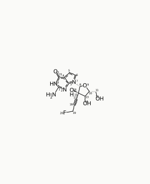 Nc1nc2c(ccn2[C@@H]2O[C@H](CO)C(O)[C@]2(O)C#CCF)c(=O)[nH]1